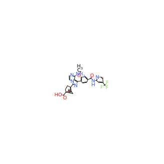 CCOc1cc(C(=O)Nc2cc(C(F)(F)F)ccn2)ccc1-c1nc(C23CCC(C(=O)O)(CC2)[C@H]2CC23)n2ccnc(N)c12